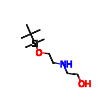 CC(C)(C)[Si](C)(C)OCCNCCO